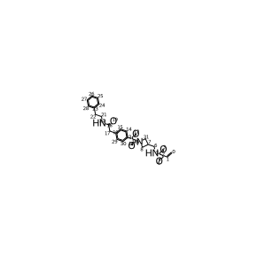 C=CS(=O)(=O)NCC1CN(S(=O)(=O)c2ccc(CC(=O)NCCc3ccccc3)cc2)C1